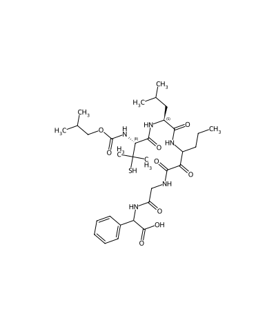 CCCC(NC(=O)[C@H](CC(C)C)NC(=O)[C@@H](NC(=O)OCC(C)C)C(C)(C)S)C(=O)C(=O)NCC(=O)NC(C(=O)O)c1ccccc1